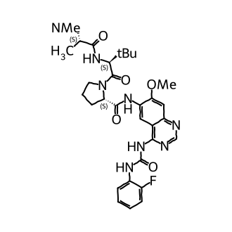 CN[C@@H](C)C(=O)N[C@H](C(=O)N1CCC[C@H]1C(=O)Nc1cc2c(NC(=O)Nc3ccccc3F)ncnc2cc1OC)C(C)(C)C